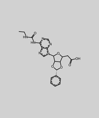 CCNC(=O)Nc1ncnc2c1ncn2C1OC(CC(=O)O)C2O[C@H](c3ccccc3)OC21